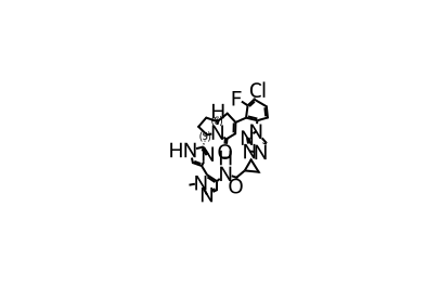 Cn1ncc(NC(=O)C2CC2)c1-c1c[nH]c([C@@H]2CC[C@H]3CC(c4c(-n5cnnn5)ccc(Cl)c4F)=CC(=O)N32)n1